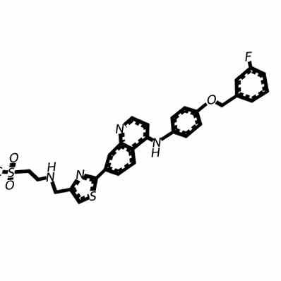 CS(=O)(=O)CCNCc1csc(-c2ccc3c(Nc4ccc(OCc5cccc(F)c5)cc4)ccnc3c2)n1